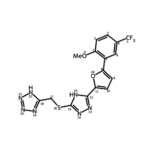 COc1ccc(C(F)(F)F)cc1-c1ccc(-c2nnc(SCc3nnn[nH]3)[nH]2)o1